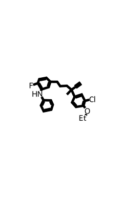 C#CC(C)(CCCc1ccc(F)c(Nc2ccccc2)c1)c1ccc(OCC)c(Cl)c1